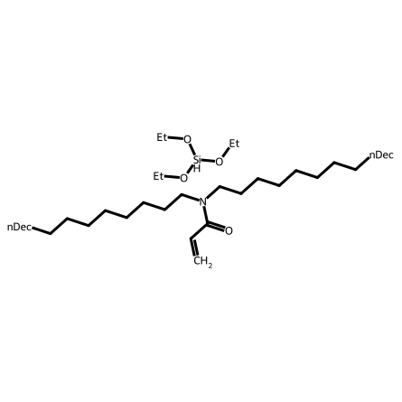 C=CC(=O)N(CCCCCCCCCCCCCCCCCC)CCCCCCCCCCCCCCCCCC.CCO[SiH](OCC)OCC